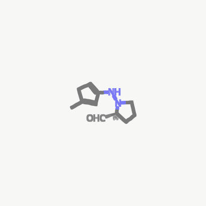 CC1=CC(NN2CCC[C@H]2C=O)=CC1